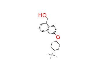 CC(C)(C)C1CCC(Oc2ccc3c(CO)cccc3c2)CC1